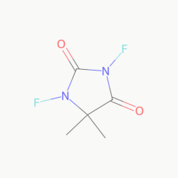 CC1(C)C(=O)N(F)C(=O)N1F